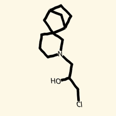 OC(CCl)CN1CCCC2(CC3CCC2C3)C1